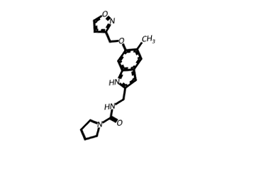 Cc1cc2cc(CNC(=O)N3CCCC3)[nH]c2cc1OCc1ccon1